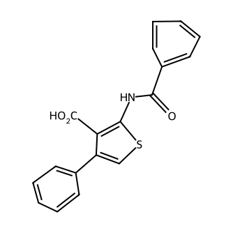 O=C(Nc1scc(-c2ccccc2)c1C(=O)O)c1ccccc1